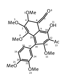 COC1=C(OC)C(OC)C(=C=O)c2c(O)c(C(C)=O)c(OC)c(-c3ccc(OC)c(OC)c3)c21